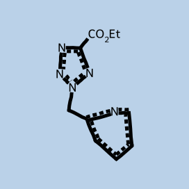 CCOC(=O)c1nnn(Cc2ccccn2)n1